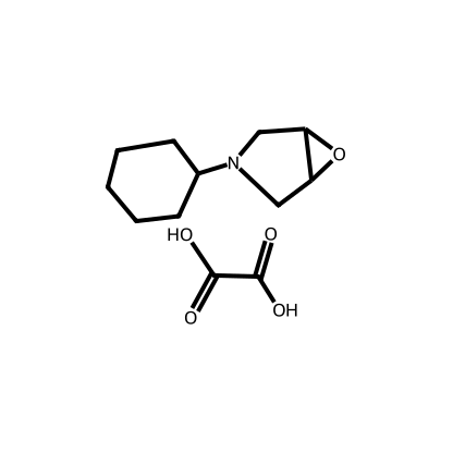 C1CCC(N2CC3OC3C2)CC1.O=C(O)C(=O)O